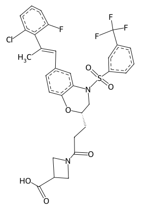 C/C(=C\c1ccc2c(c1)N(S(=O)(=O)c1cccc(C(F)(F)F)c1)C[C@H](CCC(=O)N1CC(C(=O)O)C1)O2)c1c(F)cccc1Cl